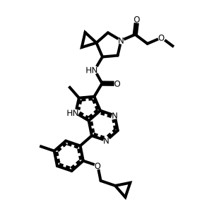 COCC(=O)N1CC(NC(=O)c2c(C)[nH]c3c(-c4cc(C)ccc4OCC4CC4)ncnc23)C2(CC2)C1